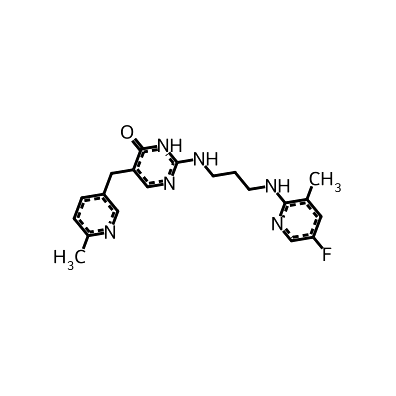 Cc1ccc(Cc2cnc(NCCCNc3ncc(F)cc3C)[nH]c2=O)cn1